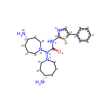 N[C@H]1CCCN(N(C(=O)Nc2ncc(-c3ccccc3)s2)N2CCC[C@H](N)CC2)CC1